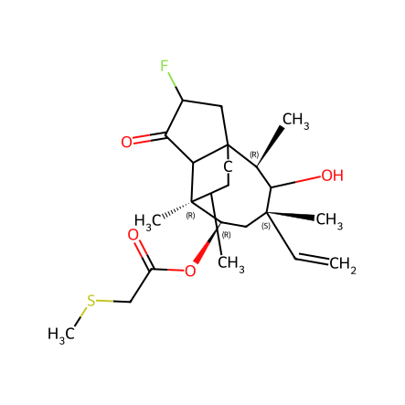 C=C[C@]1(C)C[C@@H](OC(=O)CSC)[C@]2(C)C(C)CCC3(CC(F)C(=O)C32)[C@@H](C)C1O